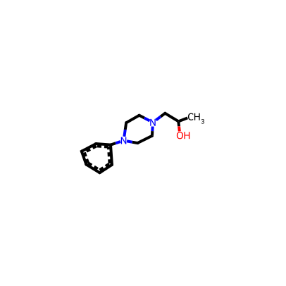 CC(O)CN1CCN(c2ccccc2)CC1